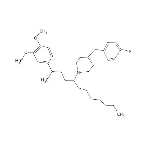 CCCCCCCC(CC[C](C)c1ccc(OC)c(OC)c1)N1CCC(Cc2ccc(F)cc2)CC1